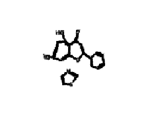 O=c1cc(-c2ccccc2)oc2cc(O)cc(O)c12.c1cscn1